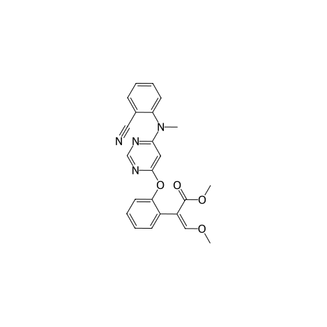 COC=C(C(=O)OC)c1ccccc1Oc1cc(N(C)c2ccccc2C#N)ncn1